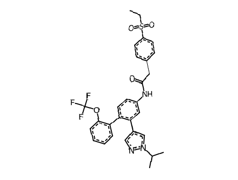 CCS(=O)(=O)c1ccc(CC(=O)Nc2ccc(-c3ccccc3OC(F)(F)F)c(-c3cnn(C(C)C)c3)c2)cc1